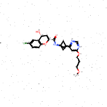 O=C(NC12CC(c3cc(OCCCOC(F)(F)F)ncn3)(C1)C2)[C@H]1C[C@@H](O)c2cc(Cl)ccc2O1